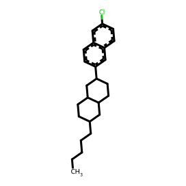 CCCCCC1CCC2CC(c3ccc4cc(Cl)ccc4c3)CCC2C1